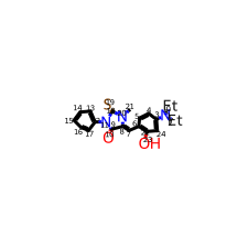 CCN(CC)c1ccc(C=C2C(=O)N(c3ccccc3)C(=S)N2C)c(O)c1